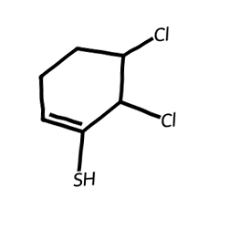 SC1=CCCC(Cl)C1Cl